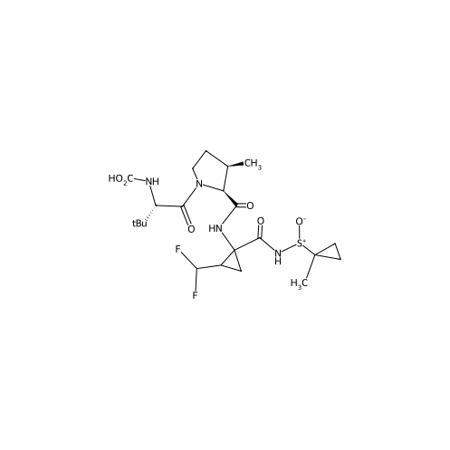 C[C@@H]1CCN(C(=O)[C@@H](NC(=O)O)C(C)(C)C)[C@@H]1C(=O)NC1(C(=O)N[S+]([O-])C2(C)CC2)CC1C(F)F